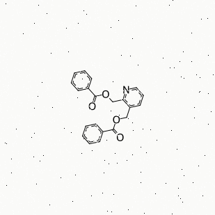 O=C(OCc1cccnc1COC(=O)c1ccccc1)c1ccccc1